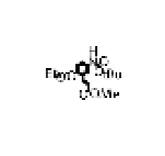 CCOCOc1ccc(NC(=O)OC(C)(C)C)cc1C=CC(=O)OC